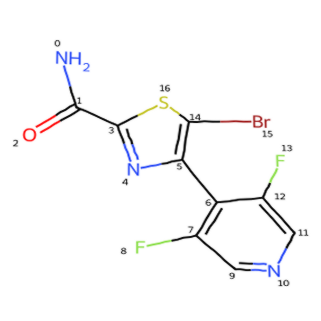 NC(=O)c1nc(-c2c(F)cncc2F)c(Br)s1